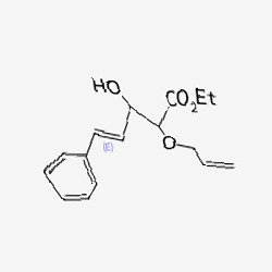 C=CCOC(C(=O)OCC)C(O)/C=C/c1ccccc1